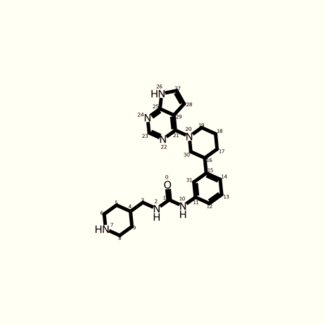 O=C(NCC1CCNCC1)Nc1cccc(C2CCCN(c3ncnc4[nH]ccc34)C2)c1